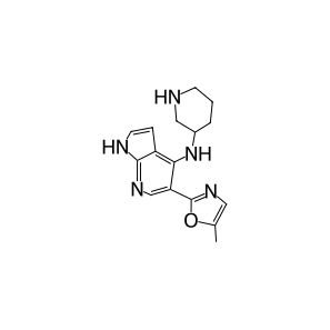 Cc1cnc(-c2cnc3[nH]ccc3c2NC2CCCNC2)o1